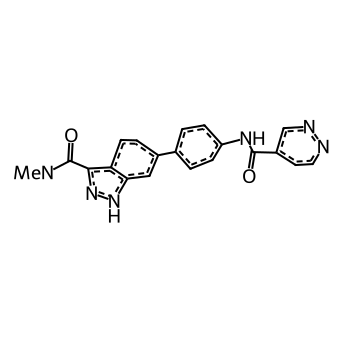 CNC(=O)c1n[nH]c2cc(-c3ccc(NC(=O)c4ccnnc4)cc3)ccc12